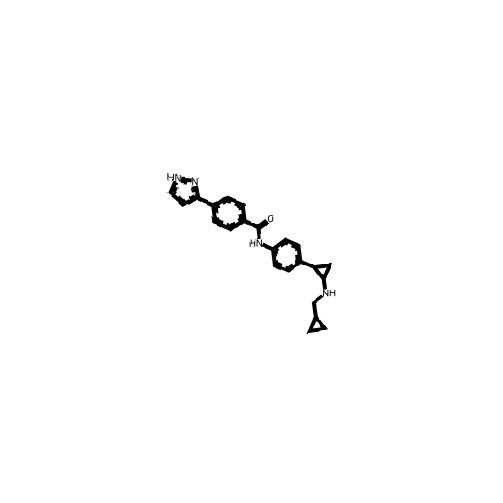 O=C(Nc1ccc(C2CC2NCC2CC2)cc1)c1ccc(-c2cc[nH]n2)cc1